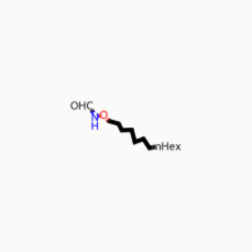 CCCCCCCCCCCCCONC=O